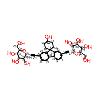 OC[C@H]1O[C@H](C#Cc2ccc3c(c2)C2(CCC(O)CC2)c2cc(C#C[C@H]4O[C@H](CO)[C@@H](O)[C@H](O)[C@@H]4O)ccc2-3)[C@@H](O)[C@@H](O)[C@@H]1O